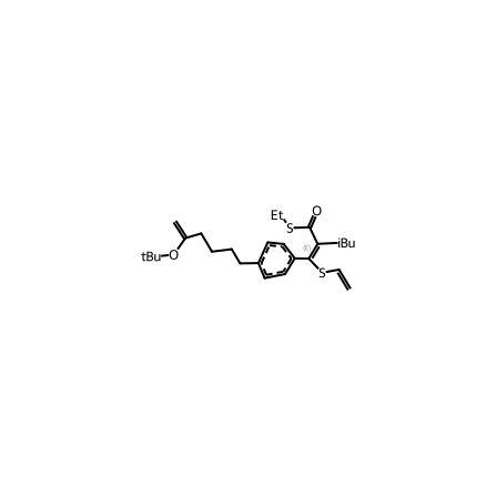 C=CS/C(=C(/C(=O)SCC)C(C)CC)c1ccc(CCCCC(=C)OC(C)(C)C)cc1